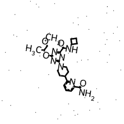 COCC(C)Oc1nc(C(=O)NC2CCC2)nc(N2CCC(c3cccc(C(N)=O)n3)CC2)n1